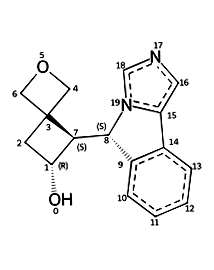 O[C@@H]1CC2(COC2)[C@H]1[C@H]1c2ccccc2-c2cncn21